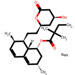 CCC(C)(C)C(=O)O[C@@H]1C[C@H](C)C=C2C=C[C@@H](C)[C@@H](CC[C@@H]3C[C@H](O)CC(=O)O3)[C@@H]21.[NaH]